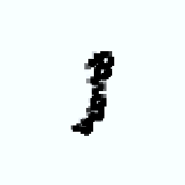 Cn1ccc(-c2ccc3cnc(CNC(=O)c4ccc5c(c4)[C@](C)(C#N)COC5)cc3n2)n1